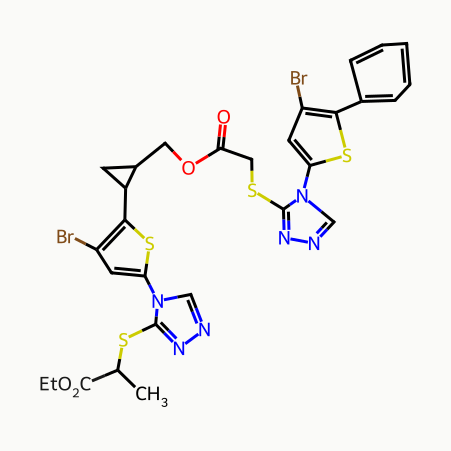 CCOC(=O)C(C)Sc1nncn1-c1cc(Br)c(C2CC2COC(=O)CSc2nncn2-c2cc(Br)c(-c3ccccc3)s2)s1